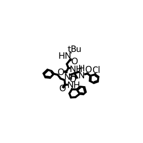 CC(C)(C)CNC(=O)CC(NC1(CNC(=O)c2ccccc2Cl)COC1)C(=O)NC(CCc1ccccc1)C(=O)N[C@@H]1CCCc2ccccc21